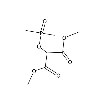 COC(=O)C(OP(C)(C)=O)C(=O)OC